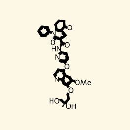 COc1cc2c(Oc3ccc(NC(=O)c4cc5c(n(-c6ccccc6)c4=O)CCCC5=O)nc3)ccnc2cc1OCC[C@](C)(O)CO